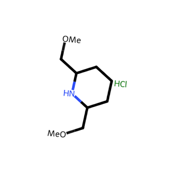 COCC1CCCC(COC)N1.Cl